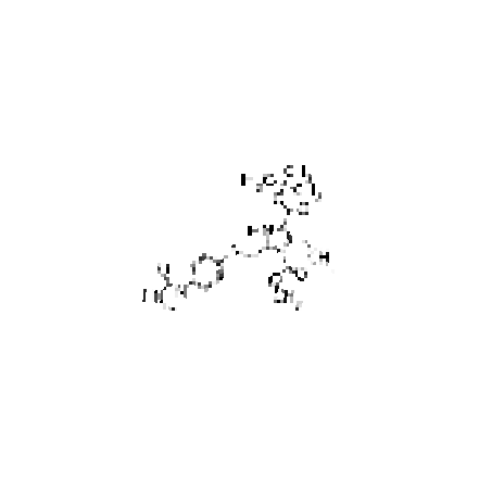 CCc1c(C(=O)OC(C)(C)C)[nH]c(CNc2ccc(N3CCNC3=O)cc2)c1C(=O)OC